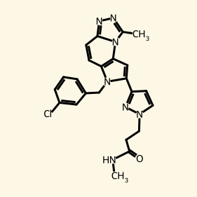 CNC(=O)CCn1ccc(-c2cc3c(ccc4nnc(C)n43)n2Cc2cccc(Cl)c2)n1